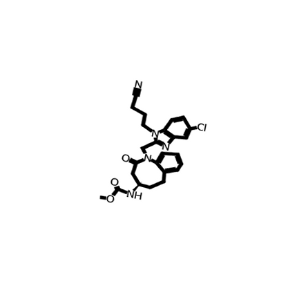 COC(=O)N[C@@H]1CCc2ccccc2N(Cc2nc3cc(Cl)ccc3n2CCCC#N)C(=O)C1